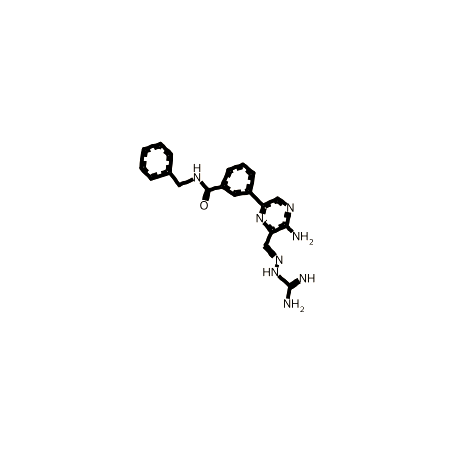 N=C(N)N/N=C/c1nc(-c2cccc(C(=O)NCc3ccccc3)c2)cnc1N